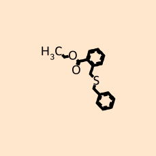 CCOC(=O)c1ccccc1CSCc1ccccc1